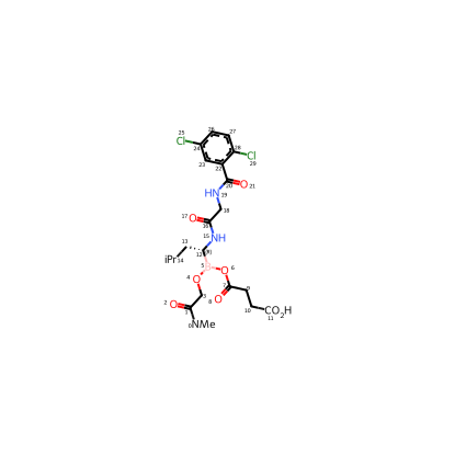 CNC(=O)COB(OC(=O)CCC(=O)O)[C@H](CC(C)C)NC(=O)CNC(=O)c1cc(Cl)ccc1Cl